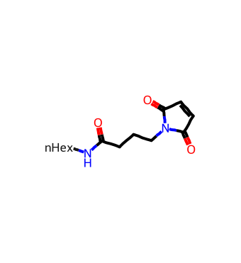 CCCCCCNC(=O)CCCN1C(=O)C=CC1=O